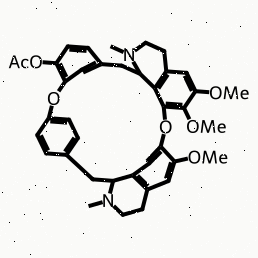 COc1cc2c3cc1Oc1c(OC)c(OC)cc4c1C(Cc1ccc(OC(C)=O)c(c1)Oc1ccc(cc1)CC3N(C)CC2)N(C)CC4